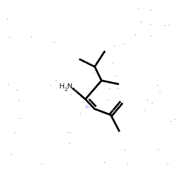 C=C(C)/C=C(/N)C(C)C(C)C